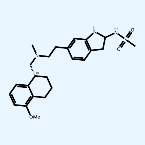 COc1cccc2c1CCC[C@H]2CN(C)CCc1ccc2c(c1)NC(NS(C)(=O)=O)C2